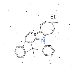 CCC1(C)C=Cc2c(n(-c3ccccc3)c3c4c(ccc23)-c2ccccc2C4(C)C)C=C1